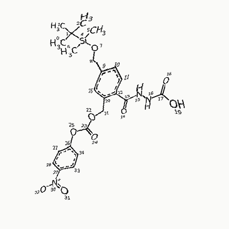 CC(C)(C)[Si](C)(C)OCc1ccc(C(=O)NNC(=O)O)c(COC(=O)Oc2ccc([N+](=O)[O-])cc2)c1